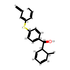 C=C/C=C(\C=C/C)Sc1ccc(C(=O)C2C=CC=CC2C)cc1